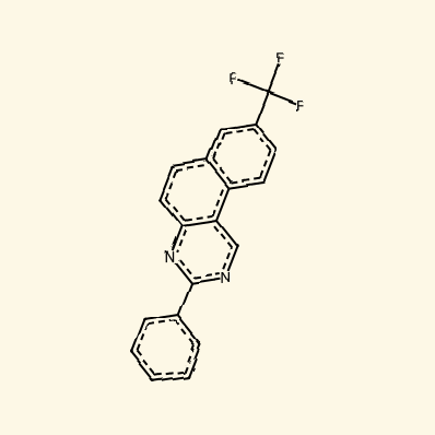 FC(F)(F)c1ccc2c(ccc3nc(-c4ccccc4)ncc32)c1